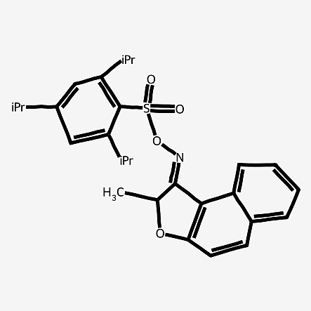 CC1Oc2ccc3ccccc3c2C1=NOS(=O)(=O)c1c(C(C)C)cc(C(C)C)cc1C(C)C